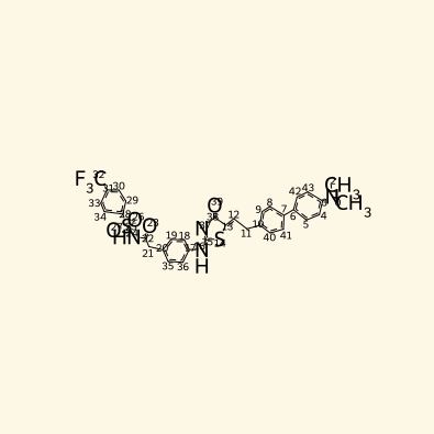 CN(C)c1ccc(-c2ccc(CC=C3SC(Nc4ccc(CC(=O)NS(=O)(=O)c5ccc(C(F)(F)F)cc5)cc4)=NC3=O)cc2)cc1